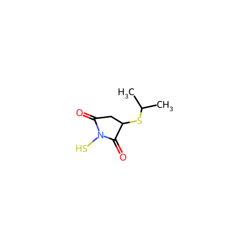 CC(C)SC1CC(=O)N(S)C1=O